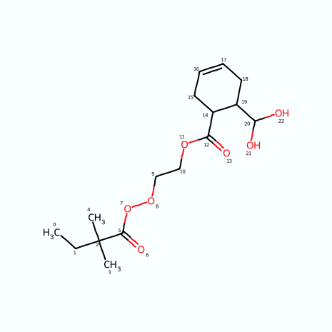 CCC(C)(C)C(=O)OOCCOC(=O)C1CC=CCC1C(O)O